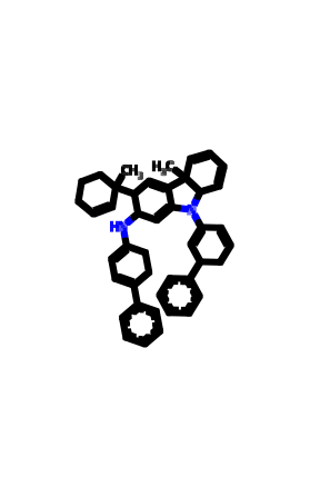 CC1(C2C=C3C(=CC2NC2=CC=C(c4ccccc4)CC2)N(C2=CC(c4ccccc4)CC=C2)C2C=CC=CC32C)C=CCCC1